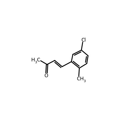 CC(=O)/C=C/c1cc(Cl)ccc1C